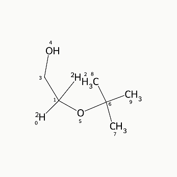 [2H]C([2H])(CO)OC(C)(C)C